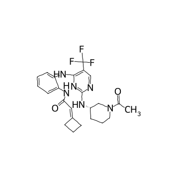 CC(=O)N1CCC[C@H](Nc2ncc(C(F)(F)F)c(Nc3ccccc3NC(=O)C=C3CCC3)n2)C1